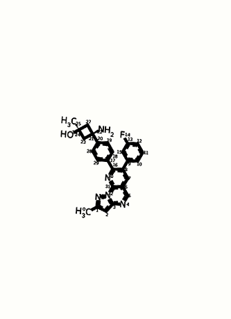 Cc1cc2ncc3cc(-c4cccc(F)c4)c(-c4ccc([C@]5(N)C[C@@](C)(O)C5)cc4)nc3n2n1